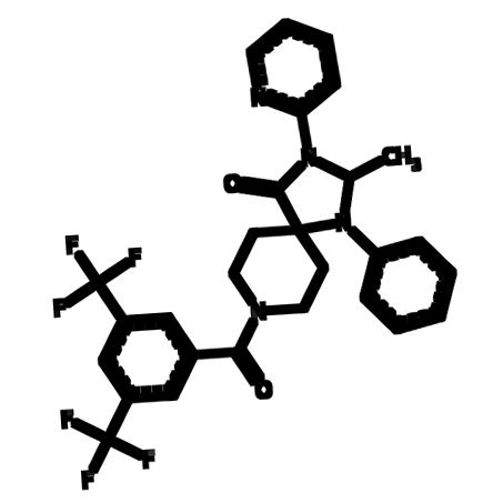 CC1N(c2ccccn2)C(=O)C2(CCN(C(=O)c3cc(C(F)(F)F)cc(C(F)(F)F)c3)CC2)N1c1ccccc1